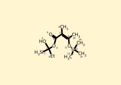 CCC(O)([SiH3])OC(=O)C(C)=C(C)O[Si](C)(C)C